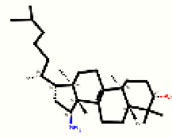 CC(C)CCC[C@@H](C)[C@H]1C[C@H](N)[C@@]2(C)C3=C(CC[C@]12C)[C@@]1(C)CC[C@H](O)C(C)(C)[C@@H]1CC3